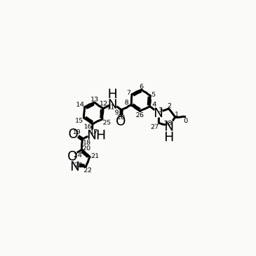 CC1CN(c2cccc(C(=O)Nc3cccc(NC(=O)c4ccno4)c3)c2)CN1